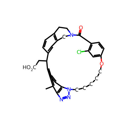 Cc1c2ccc3c1nnn3CCCCCOc1ccc(c(Cl)c1)C(=O)N1CCc3ccc(cc3C1)C2CC(=O)O